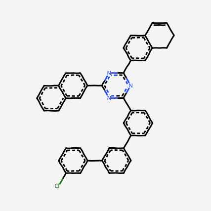 Clc1cccc(-c2cccc(-c3cccc(-c4nc(-c5ccc6c(c5)CCC=C6)nc(-c5ccc6ccccc6c5)n4)c3)c2)c1